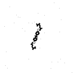 C=C(C)C(=C)CCC(C)COc1ccc(C(C)(C)c2ccc(OCC(C)CCC(=C)C(=C)C)cc2)cc1